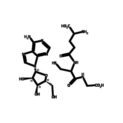 NC(CCC(=O)NC(CS)C(=O)NCC(=O)O)C(=O)O.Nc1ncnc2c1ncn2[C@@H]1O[C@H](CO)[C@@H](O)[C@H]1O